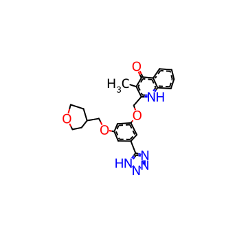 Cc1c(COc2cc(OCC3CCOCC3)cc(-c3nnn[nH]3)c2)[nH]c2ccccc2c1=O